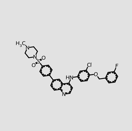 CN1CCN(S(=O)(=O)c2ccc(-c3ccc4nccc(Nc5ccc(OCc6cccc(F)c6)c(Cl)c5)c4c3)cc2)CC1